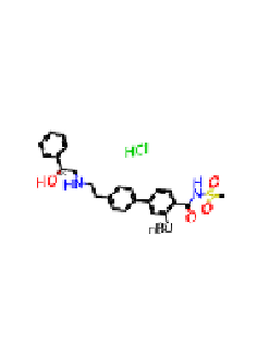 CCCCc1cc(-c2ccc(CCNC[C@@H](O)c3ccccc3)cc2)ccc1C(=O)NS(C)(=O)=O.Cl